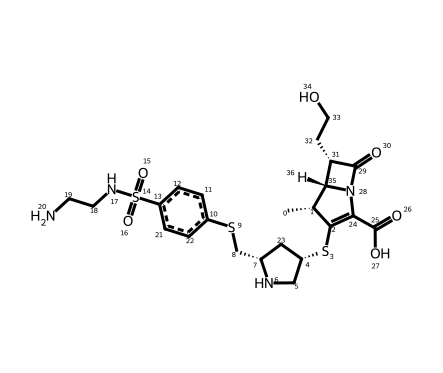 C[C@H]1C(S[C@@H]2CN[C@H](CSc3ccc(S(=O)(=O)NCCN)cc3)C2)=C(C(=O)O)N2C(=O)[C@@H](CCO)[C@@H]12